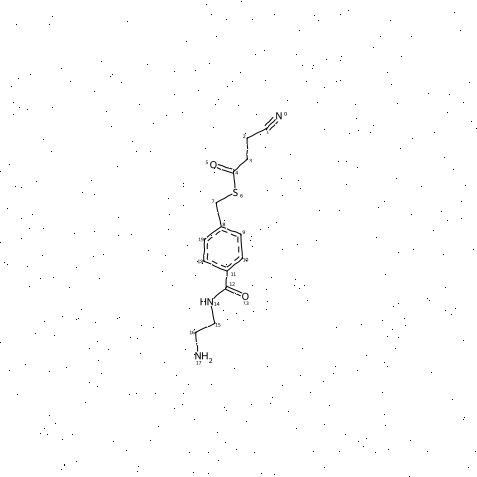 N#CCCC(=O)SCc1ccc(C(=O)NCCN)cc1